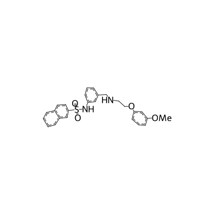 COc1cccc(OCCNCc2cccc(NS(=O)(=O)c3ccc4ccccc4c3)c2)c1